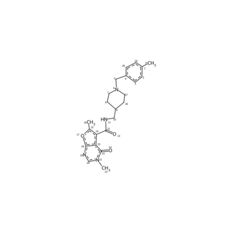 Cc1ccc(CN2CCC(CNC(=O)c3c(C)oc4ncn(C)c(=O)c34)CC2)cc1